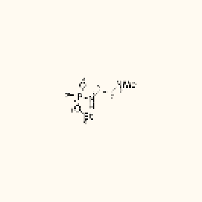 CCO[P@](C)(=O)NCCNC